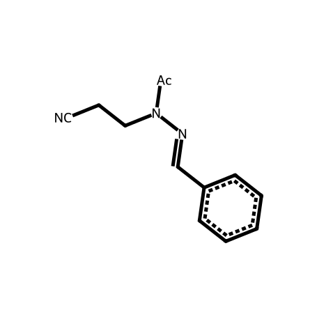 CC(=O)N(CCC#N)/N=C/c1ccccc1